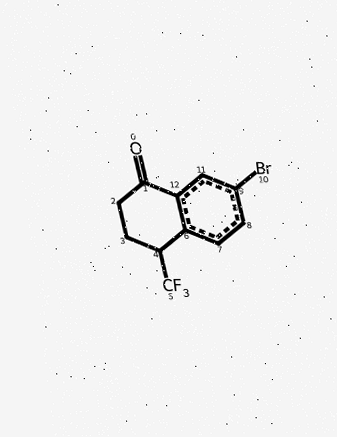 O=C1CCC(C(F)(F)F)c2ccc(Br)cc21